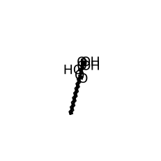 C=CCCCCCCCCCCCCCCC(=O)OCC(O)COP(=O)(O)O